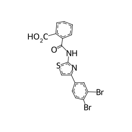 O=C(O)c1ccccc1C(=O)Nc1nc(-c2ccc(Br)c(Br)c2)cs1